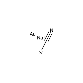 N#C[S-].[Au].[Na+]